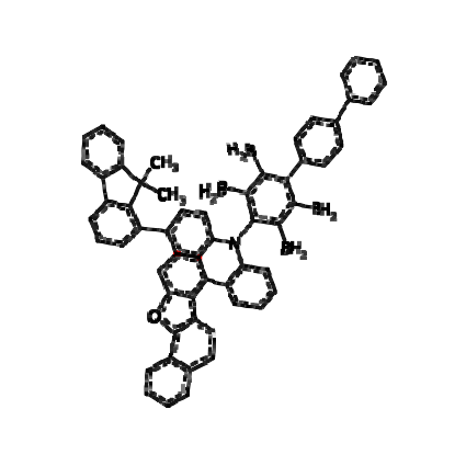 Bc1c(B)c(N(c2ccc(-c3cccc4c3C(C)(C)c3ccccc3-4)cc2)c2ccccc2-c2cccc3oc4c5ccccc5ccc4c23)c(B)c(B)c1-c1ccc(-c2ccccc2)cc1